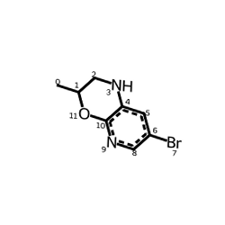 CC1CNc2cc(Br)cnc2O1